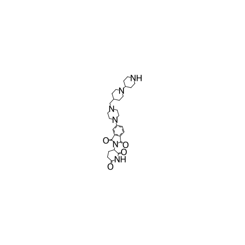 O=C1CCC(N2C(=O)c3ccc(N4CCN(CC5CCN(C6CCNCC6)CC5)CC4)cc3C2=O)C(=O)N1